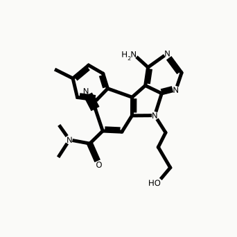 Cc1ccc(-c2c(C=C(C#N)C(=O)N(C)C)n(CCCO)c3ncnc(N)c23)cc1